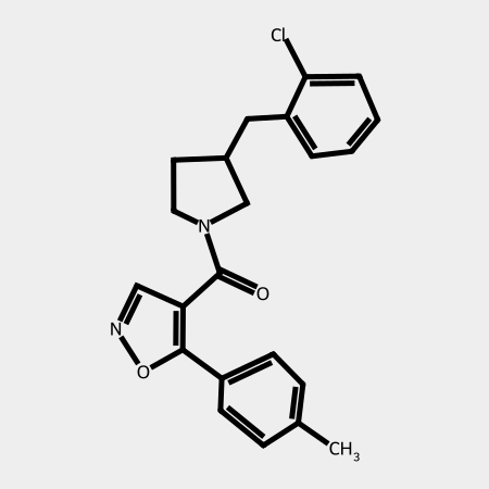 Cc1ccc(-c2oncc2C(=O)N2CCC(Cc3ccccc3Cl)C2)cc1